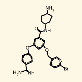 N=C(N)c1ccc(Oc2cc(OCc3ccc(Br)nc3)cc(C(=O)NC3CCC(N)CC3)c2)cc1